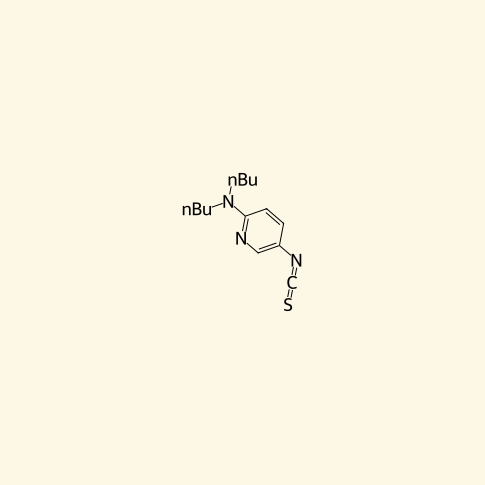 CCCCN(CCCC)c1ccc(N=C=S)cn1